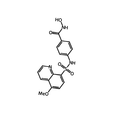 COc1ccc(S(=O)(=O)Nc2ccc(C(=O)NO)cc2)c2ncccc12